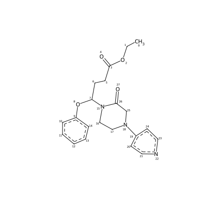 CCOC(=O)CCC(Oc1ccccc1)N1CCN(c2ccncc2)CC1=O